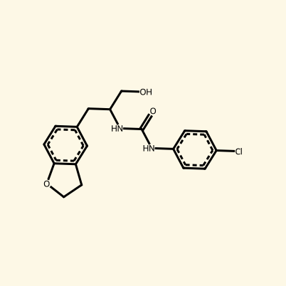 O=C(Nc1ccc(Cl)cc1)NC(CO)Cc1ccc2c(c1)CCO2